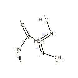 C/N=[SH](=N/C)/C(=O)S.I